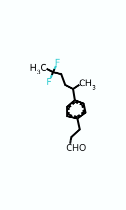 CC(CCC(C)(F)F)c1ccc(CCC=O)cc1